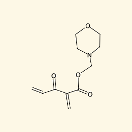 C=CC(=O)C(=C)C(=O)OCN1CCOCC1